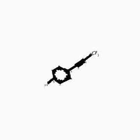 FC(F)(F)C#Cc1ccc(I)cc1